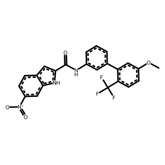 COc1ccc(C(F)(F)F)c(-c2cccc(NC(=O)c3cc4ccc([N+](=O)[O-])cc4[nH]3)c2)c1